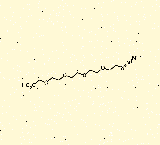 [N-]=[N+]=NCCOCCOCCOCCOCC(=O)O